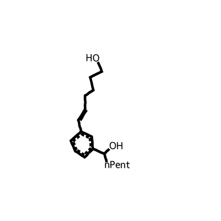 CCCCCC(O)c1cccc(C=CCCCCO)c1